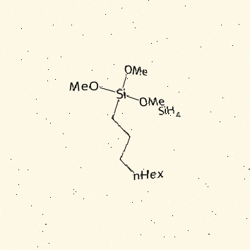 CCCCCCCCC[Si](OC)(OC)OC.[SiH4]